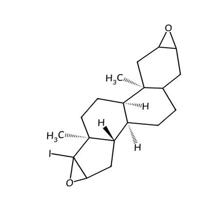 C[C@]12CC3OC3CC1CC[C@@H]1[C@H]2CC[C@@]2(C)[C@H]1CC1OC12I